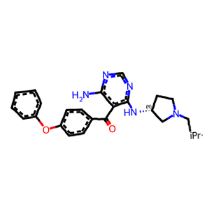 C[C](C)CN1CC[C@@H](Nc2ncnc(N)c2C(=O)c2ccc(Oc3ccccc3)cc2)C1